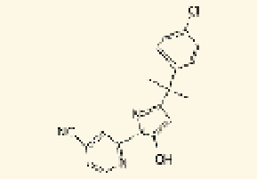 CC(C)(c1ccc(Cl)cc1)c1cc(O)n(-c2cc(C#N)ccn2)n1